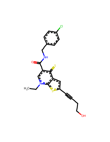 CCn1cc(C(=O)NCc2ccc(Cl)cc2)c(=S)c2cc(C#CCCO)sc21